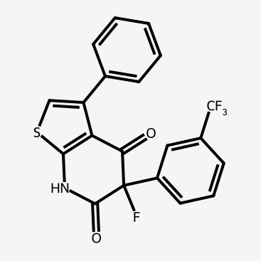 O=C1Nc2scc(-c3ccccc3)c2C(=O)C1(F)c1cccc(C(F)(F)F)c1